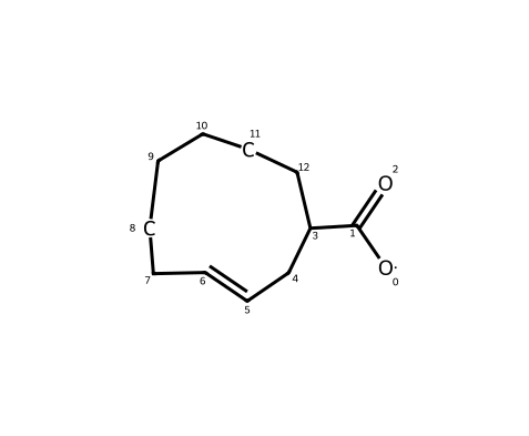 [O]C(=O)C1C/C=C/CCCCCC1